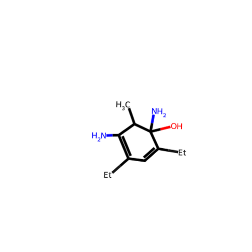 CCC1=CC(CC)=C(N)C(C)C1(N)O